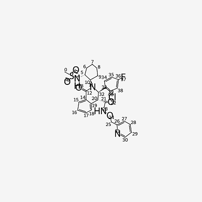 CS(=O)(=O)N[C@@H]1CCCC[C@H]1N1C(=O)c2ccccc2[C@@H](C(=O)NOCc2ccccn2)[C@@H]1c1ccc(F)cc1Cl